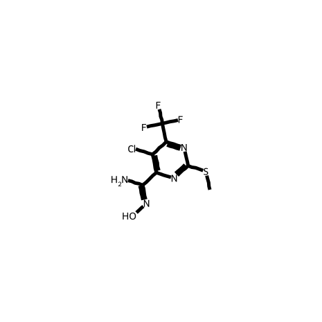 CSc1nc(/C(N)=N/O)c(Cl)c(C(F)(F)F)n1